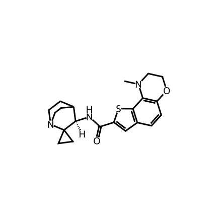 CN1CCOc2ccc3cc(C(=O)N[C@@H]4C5CCN(CC5)C45CC5)sc3c21